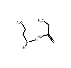 CCC(=O)O.CCN(CC)CCOC(C)=O